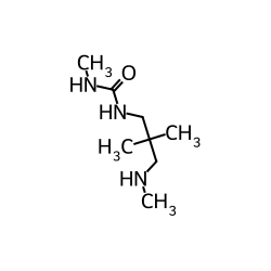 CNCC(C)(C)CNC(=O)NC